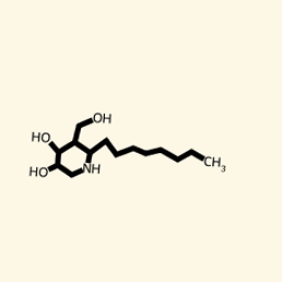 CCCCCCCCC1NCC(O)C(O)C1CO